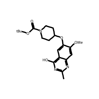 COc1cc2nc(C)nc(O)c2cc1OC1CCN(C(=O)OC(C)(C)C)CC1